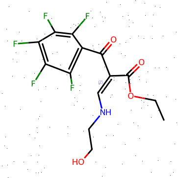 CCOC(=O)/C(=C\NCCO)C(=O)c1c(F)c(F)c(F)c(F)c1F